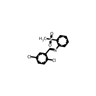 CS(=O)(=O)c1ccccc1N=Cc1cc(Cl)ccc1Cl